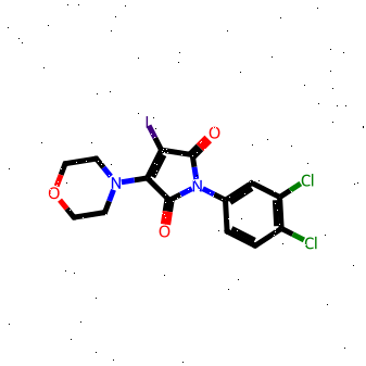 O=C1C(I)=C(N2CCOCC2)C(=O)N1c1ccc(Cl)c(Cl)c1